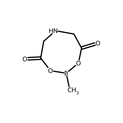 CB1OC(=O)CNCC(=O)O1